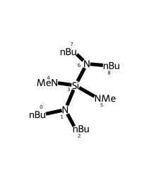 CCCCN(CCCC)[Si](NC)(NC)N(CCCC)CCCC